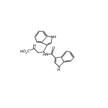 O=C(O)NCC(NC(=O)c1c[nH]c2ccccc12)c1c[nH]c2ccccc12